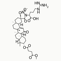 COC(=O)CCC(=O)O[C@H]1CC[C@]2(C)[C@H]3C(=O)C=C4[C@@H]5C[C@@](C)(C(=O)N(C(CCCNC(=N)N)C(=O)O)[N+](=O)[O-])CC[C@]5(C)CC[C@@]4(C)[C@]3(C)CC[C@H]2C1(C)C